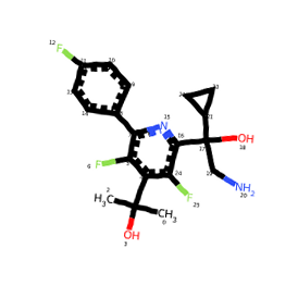 CC(C)(O)c1c(F)c(-c2ccc(F)cc2)nc(C(O)(CN)C2CC2)c1F